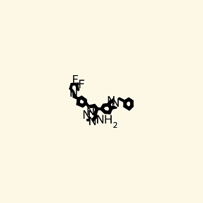 Nc1ncnn2c(-c3ccc(CN4CCC(F)(F)C4)cc3)cc(-c3ccc4cn(Cc5ccccc5)nc4c3)c12